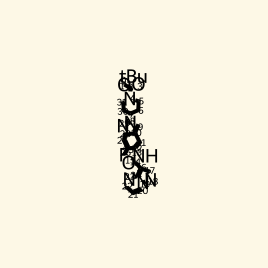 CC(C)(C)OC(=O)N1CCC(n2cc3cc(NC(=O)c4cnn5cccnc45)c(F)cc3n2)CC1